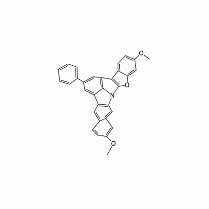 COc1ccc2cc3c4cc(-c5ccccc5)cc5c6c7ccc(OC)cc7oc6n(c3cc2c1)c45